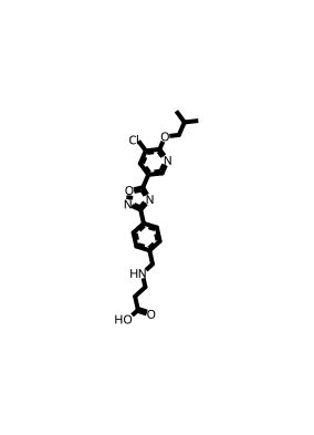 CC(C)COc1ncc(-c2nc(-c3ccc(CNCCC(=O)O)cc3)no2)cc1Cl